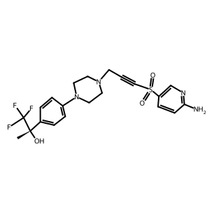 C[C@](O)(c1ccc(N2CCN(CC#CS(=O)(=O)c3ccc(N)nc3)CC2)cc1)C(F)(F)F